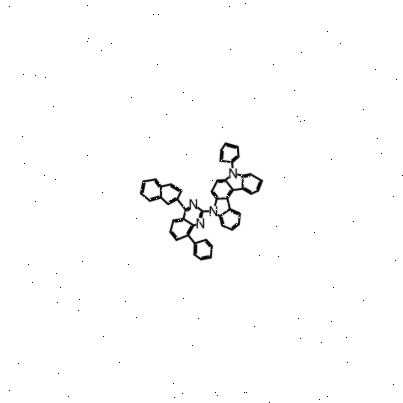 c1ccc(-c2cccc3c(-c4ccc5ccccc5c4)nc(-n4c5ccccc5c5c6c7ccccc7n(-c7ccccc7)c6ccc54)nc23)cc1